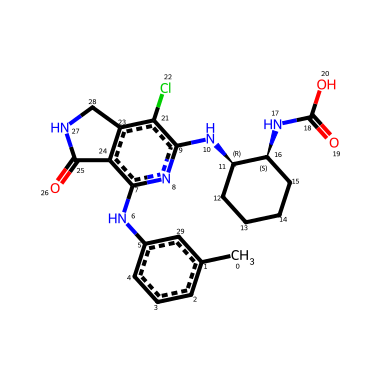 Cc1cccc(Nc2nc(N[C@@H]3CCCC[C@@H]3NC(=O)O)c(Cl)c3c2C(=O)NC3)c1